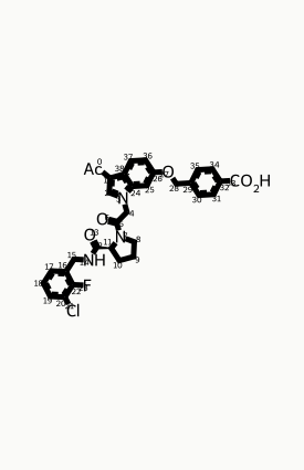 CC(=O)c1cn(CC(=O)N2CCC[C@H]2C(=O)NCc2cccc(Cl)c2F)c2cc(OCc3ccc(C(=O)O)cc3)ccc12